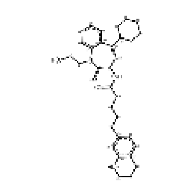 CCCN1C(=O)C(NC(=O)CCCCc2ccc3c(n2)NCCC3)N=C(C2CCCCC2)c2ccccc21